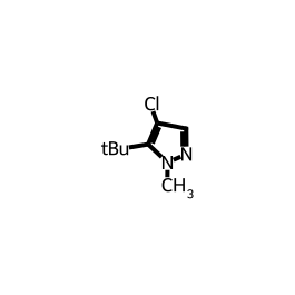 Cn1ncc(Cl)c1C(C)(C)C